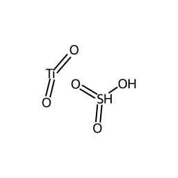 O=[SH](=O)O.[O]=[Ti]=[O]